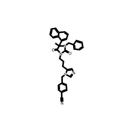 CC1(c2cccc3ccccc23)C(=O)N(CCCc2cncn2Cc2ccc(C#N)cc2)C(=O)N1Cc1ccccc1